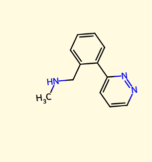 CNCc1ccccc1-c1cccnn1